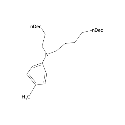 CCCCCCCCCCCCCCN(CCCCCCCCCCCC)c1ccc(C)cc1